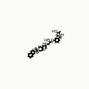 CC(CO)NS(=O)(=O)c1cccc(OCC(O)CNC2COC3(CCN(S(=O)(=O)c4ccc5ccccc5c4)CC3)C2)c1